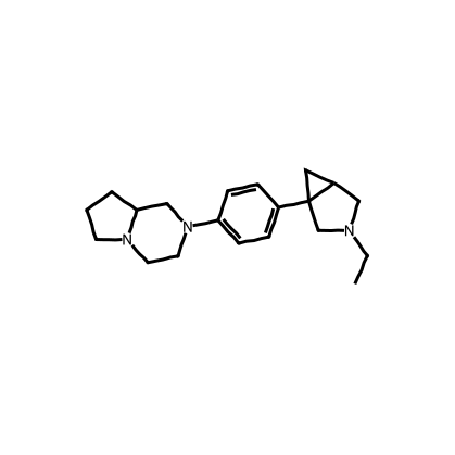 CCN1CC2CC2(c2ccc(N3CCN4CCCC4C3)cc2)C1